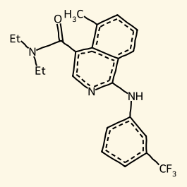 CCN(CC)C(=O)c1cnc(Nc2cccc(C(F)(F)F)c2)c2cccc(C)c12